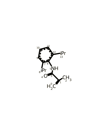 C=C(C)C(=O)Nc1c(C(C)C)cccc1C(C)C